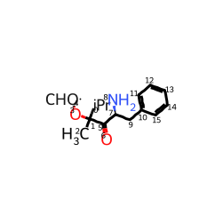 CC(C)C(C)(O[C]=O)C(=O)[C@@H](N)Cc1ccccc1